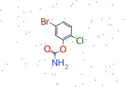 NC(=O)Oc1cc(Br)ccc1Cl